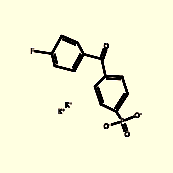 O=C(c1ccc(F)cc1)c1ccc(P(=O)([O-])[O-])cc1.[K+].[K+]